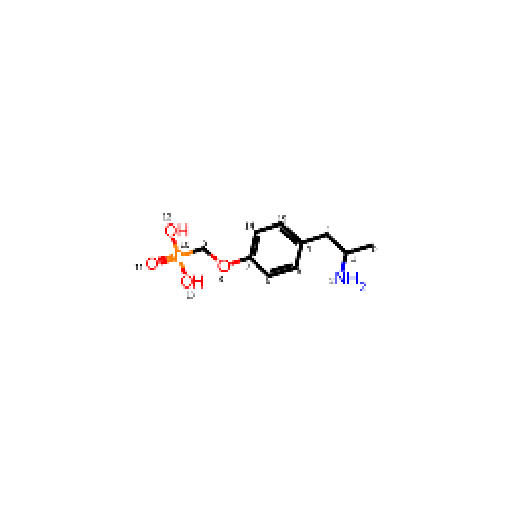 CC(N)Cc1ccc(OCP(=O)(O)O)cc1